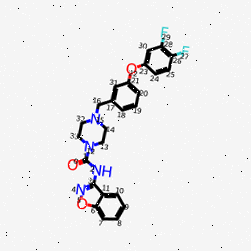 O=C(Nc1noc2ccccc12)N1CCN(Cc2cccc(Oc3ccc(F)c(F)c3)c2)CC1